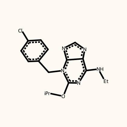 CCNc1nc(OC(C)C)n(Cc2ccc(Cl)cc2)c2ncnc1-2